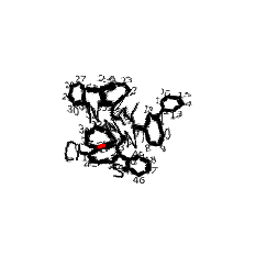 Clc1cc(-c2nc(-c3cccc(-c4ccccc4)c3)nc(-c3cccc4c5ccccc5n(-c5ccccc5)c34)n2)c2c(c1)sc1ccccc12